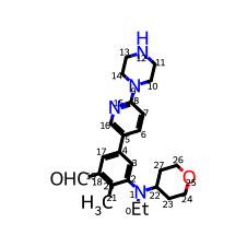 CCN(c1cc(-c2ccc(N3CCNCC3)nc2)cc(C=O)c1C)C1CCOCC1